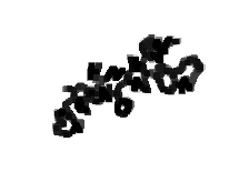 Cc1ccc(CNC(=O)c2nc(-c3ccc4ncccc4c3)c(-c3ccn(C)n3)nc2N)nc1-c1ccccn1